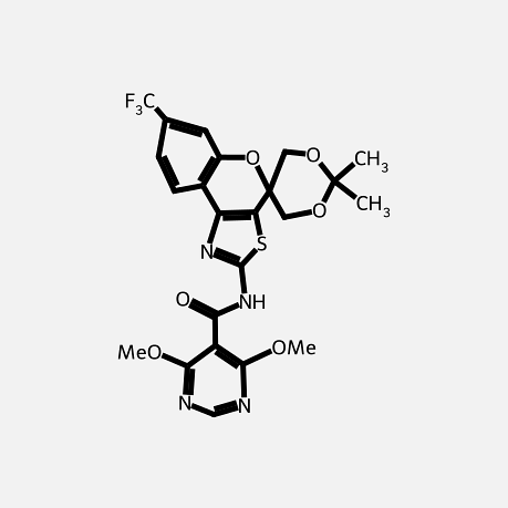 COc1ncnc(OC)c1C(=O)Nc1nc2c(s1)C1(COC(C)(C)OC1)Oc1cc(C(F)(F)F)ccc1-2